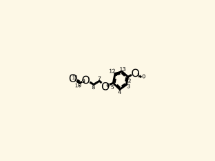 COc1ccc(OCCO[C]=O)cc1